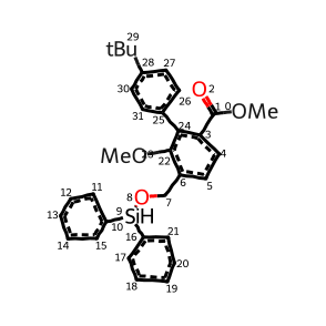 COC(=O)c1ccc(CO[SiH](c2ccccc2)c2ccccc2)c(OC)c1-c1ccc(C(C)(C)C)cc1